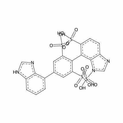 O=S(=O)(O)c1cc(-c2cccc3[nH]cnc23)cc(S(=O)(=O)O)c1-c1c(S(=O)(=O)O)ccc2ncn(S(=O)(=O)O)c12